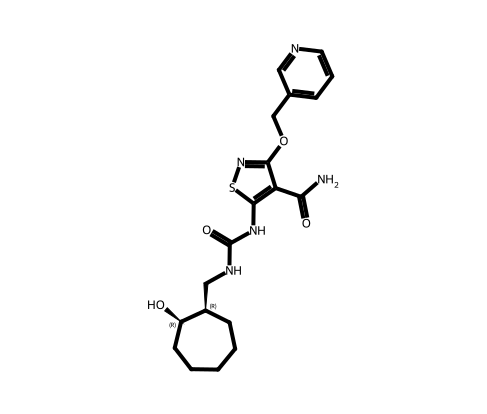 NC(=O)c1c(OCc2cccnc2)nsc1NC(=O)NC[C@H]1CCCCC[C@H]1O